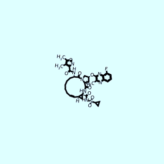 Cc1nc2cccc(F)c2nc1O[C@@H]1C[C@H]2C(=O)N[C@]3(C(=O)NS(=O)(=O)C4CC4)C[C@H]3/C=C\CCCCC[C@H](NC(=O)c3noc(C)c3C)C(=O)N2C1